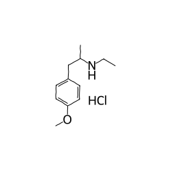 CCNC(C)Cc1ccc(OC)cc1.Cl